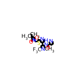 Cc1nc(C(F)(F)F)cc(-c2ccnc3cc(CN4C(=O)C5C(C4=O)C5(C)C)sc23)c1NC(=O)c1cccnc1